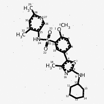 COc1ccc(-c2sc(NC3CCCCC3)nc2C)cc1S(=O)(=O)Nc1cnc(C)cc1C